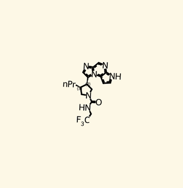 CCC[C@@H]1CN(C(=O)NCC(F)(F)F)C[C@@H]1c1cnc2cnc3[nH]ccc3n12